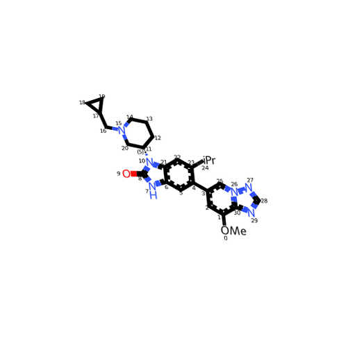 COc1cc(-c2cc3[nH]c(=O)n([C@H]4CCCN(CC5CC5)C4)c3cc2C(C)C)cn2ncnc12